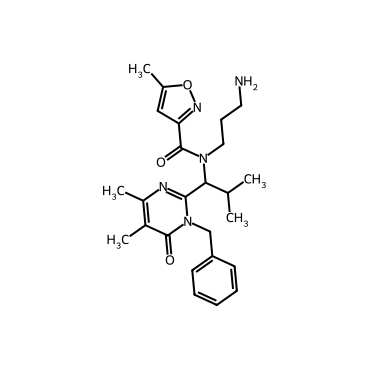 Cc1cc(C(=O)N(CCCN)C(c2nc(C)c(C)c(=O)n2Cc2ccccc2)C(C)C)no1